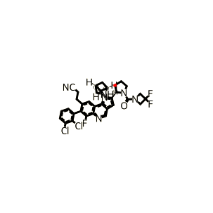 N#CCCc1cc2c(ncc3cc([C@H]4CCCN4C(=O)N4CC(F)(F)C4)n([C@H]4[C@H]5CN[C@@H]4C5)c32)c(F)c1-c1cccc(Cl)c1Cl